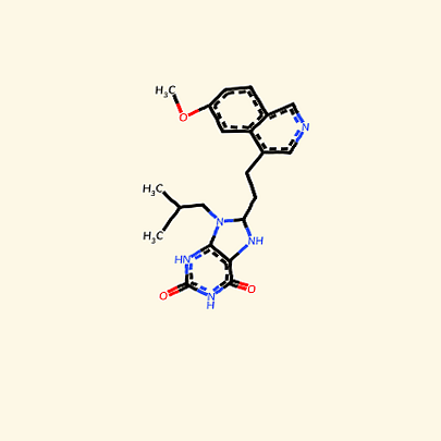 COc1ccc2cncc(CCC3Nc4c([nH]c(=O)[nH]c4=O)N3CC(C)C)c2c1